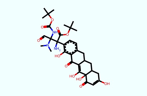 CN(C)C(C=O)(NC(=O)OC(C)(C)C)C(N)(C(=O)OC(C)(C)C)c1ccc2c(c1O)C(=O)C1=C(O)C3(O)C(=O)C=C(O)CC3CC1C2